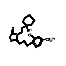 CCOC(=O)c1ccc(CCCC2SCC(=O)N2CCC2(O)CCCCC2)c(Cl)c1